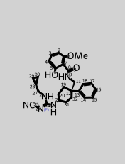 COc1cccc(O)c1C(=O)NC[C@]1(c2ccccc2)CC[C@@H](N/C(=N/C#N)NCC2CC2)CC1